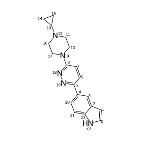 c1cc2cc(-c3ccc(N4CCN(C5CC5)CC4)nn3)ccc2[nH]1